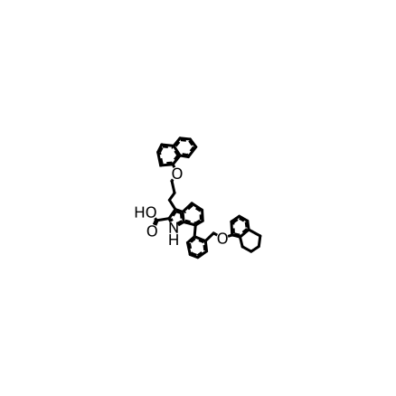 O=C(O)c1[nH]c2c(-c3ccccc3COc3cccc4c3CCCC4)cccc2c1CCCOc1cccc2ccccc12